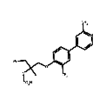 CC(C)CC(C)(COc1ccc(-c2ccnc(N)c2)cc1C(F)(F)F)NC(=O)O